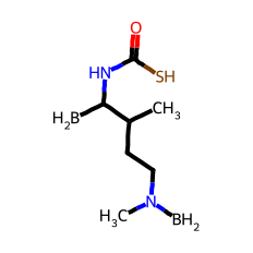 BC(NC(=O)S)C(C)CCN(B)C